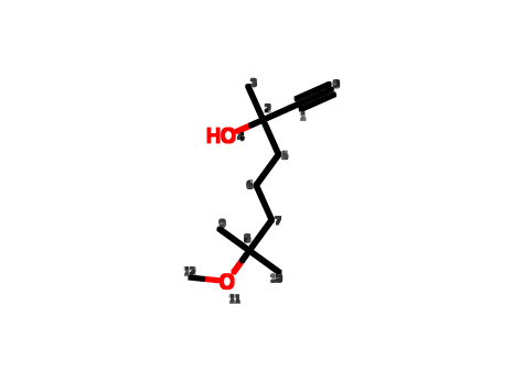 C#CC(C)(O)CCCC(C)(C)OC